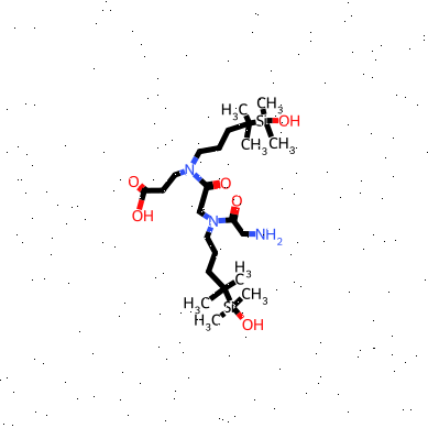 CC(C)(CCCN(CCC(=O)O)C(=O)CN(CCCC(C)(C)[Si](C)(C)O)C(=O)CN)[Si](C)(C)O